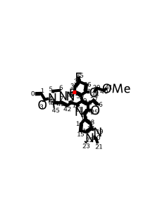 C=CC(=O)N1CCn2nc(-c3nc(-c4ccc5c(c4)nc(C)n5C)c4occc4c3-c3c(F)cc(F)cc3OCCOC)cc2[C@H]1C